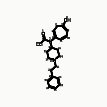 CCC(=O)N(C1=CCC(O)=CC=C1)C1CCN(CCc2ccccc2)CC1